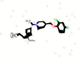 C=C([C@H]1C[C@](CCC=O)(NC)C1)N1CCC(COc2ccc(F)cc2Cl)CC1